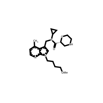 COCCCCn1cc(CN(C(=O)[C@H]2CNCCO2)C2CC2)c2c(C)ccnc21